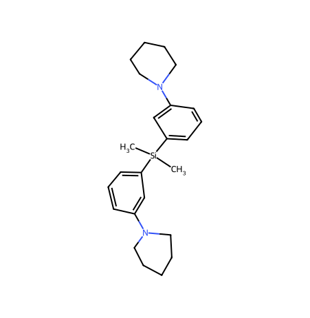 C[Si](C)(c1cccc(N2CCCCC2)c1)c1cccc(N2CCCCC2)c1